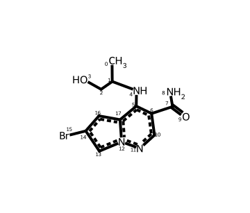 CC(CO)Nc1c(C(N)=O)cnn2cc(Br)cc12